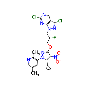 Cc1cnc(C)c(-n2nc(OCC(F)Cn3nc(Cl)c4cnc(Cl)nc43)c([N+](=O)[O-])c2C2CC2)c1